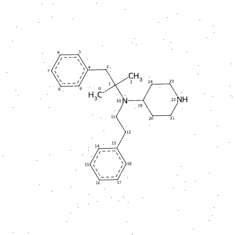 CC(C)(Cc1ccccc1)N(CCc1ccccc1)C1CCNCC1